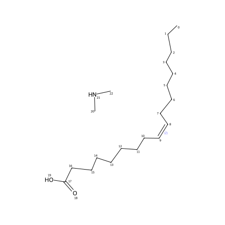 CCCCCCCC/C=C\CCCCCCCC(=O)O.CNC